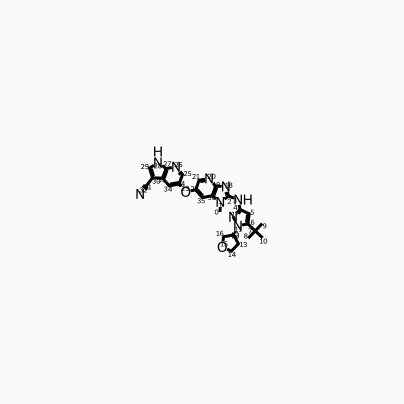 Cn1c(Nc2cc(C(C)(C)C)n([C@H]3CCOC3)n2)nc2ncc(Oc3cnc4[nH]cc(C#N)c4c3)cc21